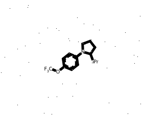 CC(C)C1CCCN1c1ccc(OC(F)(F)F)cc1